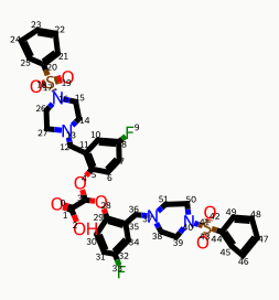 O=C(O)C(Oc1ccc(F)cc1CN1CCN(S(=O)(=O)c2ccccc2)CC1)Oc1ccc(F)cc1CN1CCN(S(=O)(=O)c2ccccc2)CC1